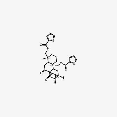 C=C1C(=O)C23CC[C@H]1CC2[C@]1(COC(=O)c2cccs2)CCC[C@@](C)(COC(=O)c2cccs2)C1CC3=O